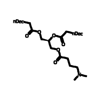 CCCCCCCCCCCC(=O)OC[C@H](COC(=O)CCCN(C)C)OC(=O)CCCCCCCCCCC